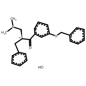 CN(C)C[C@H](Cc1ccccc1)C(=O)c1cccc(OCc2ccccc2)c1.Cl